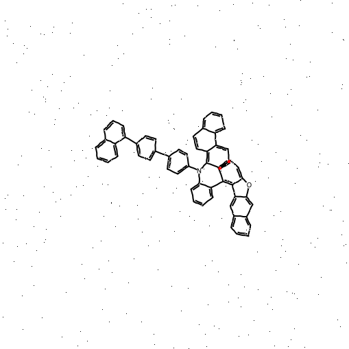 c1ccc(N(c2ccc(-c3ccc(-c4cccc5ccccc45)cc3)cc2)c2cccc3c2ccc2ccccc23)c(-c2cccc3oc4cc5ccccc5cc4c23)c1